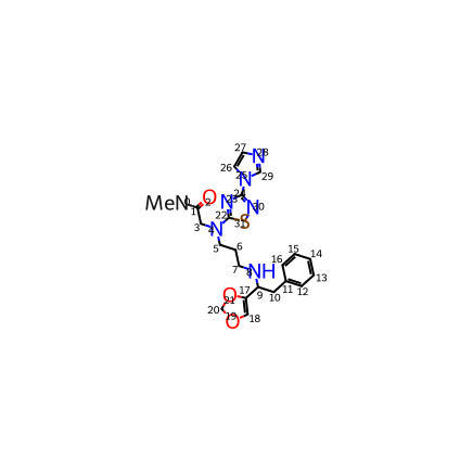 CNC(=O)CN(CCCNC(Cc1ccccc1)C1=COCO1)c1nc(-n2ccnc2)ns1